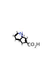 O=C(O)C1=Cc2ncccc2C1